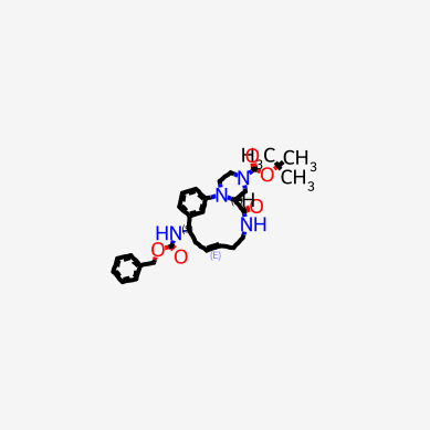 CC(C)(C)OC(=O)N1CCN2c3cccc(c3)[C@@H](NC(=O)OCc3ccccc3)C/C=C/CCNC(=O)[C@H]2C1